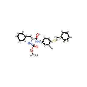 Cc1cc(NC(=O)C(Cc2ccccc2)NC(=O)OC(C)(C)C)ccc1SCc1ccccc1